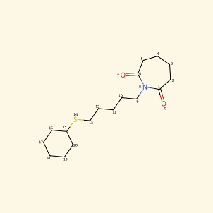 O=C1CCCCC(=O)N1CCCCCSC1CCCCC1